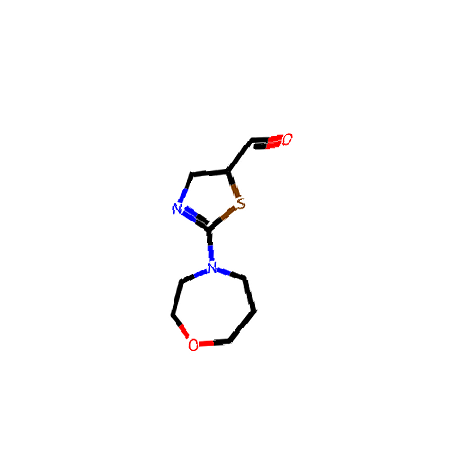 O=CC1CN=C(N2CCCOCC2)S1